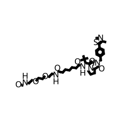 Cc1ncsc1-c1ccc(CNC(=O)C2CCCN2C(=O)C(NC(=O)CCCCCC(=O)NCCOCCOCCNC=O)C(C)(C)C)cc1